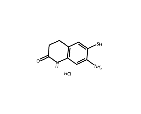 Cl.Nc1cc2c(cc1S)CCC(=O)N2